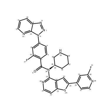 O=C(c1ccc(-n2nnc3cccnc32)cc1F)N(c1nccc2sc(-c3ccnc(F)c3)cc12)[C@@H]1CCCNC1